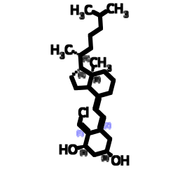 CC(C)CCC[C@@H](C)[C@H]1CCC2C(=C/C=C3/C[C@@H](O)C[C@@H](O)/C3=C/Cl)CCC[C@@]21C